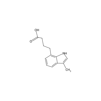 Cc1c[nH]c2c(CCCC(=O)O)cccc12